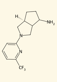 NC1CC[C@@H]2CN(c3cccc(C(F)(F)F)n3)CC12